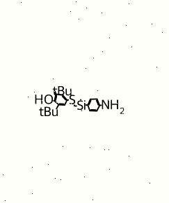 CC(C)(C)c1cc(SC[Si](C)(C)c2ccc(N)cc2)cc(C(C)(C)C)c1O